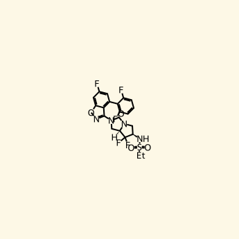 CCS(=O)(=O)N[C@@H]1CN2C(=O)N(c3noc4cc(F)cc(-c5c(F)cccc5F)c34)C[C@@H]2C1(F)F